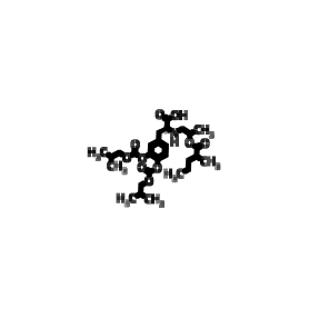 CCCC(C)C(=O)OC(C)CN[C@@H](Cc1ccc(OC(=O)OCC(C)C)c(OC(=O)OCC(C)C)c1)C(=O)O